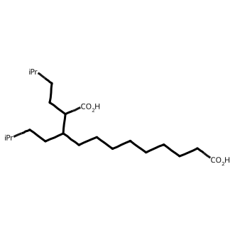 CC(C)CCC(CCCCCCCCC(=O)O)C(CCC(C)C)C(=O)O